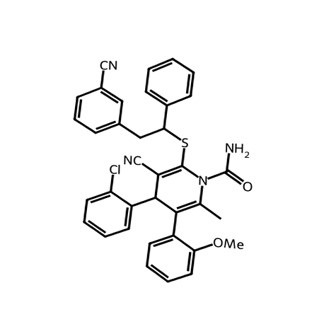 COc1ccccc1C1=C(C)N(C(N)=O)C(SC(Cc2cccc(C#N)c2)c2ccccc2)=C(C#N)C1c1ccccc1Cl